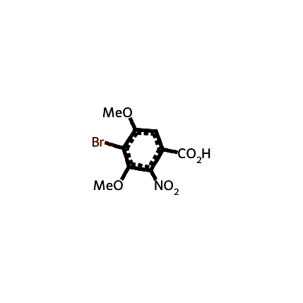 COc1cc(C(=O)O)c([N+](=O)[O-])c(OC)c1Br